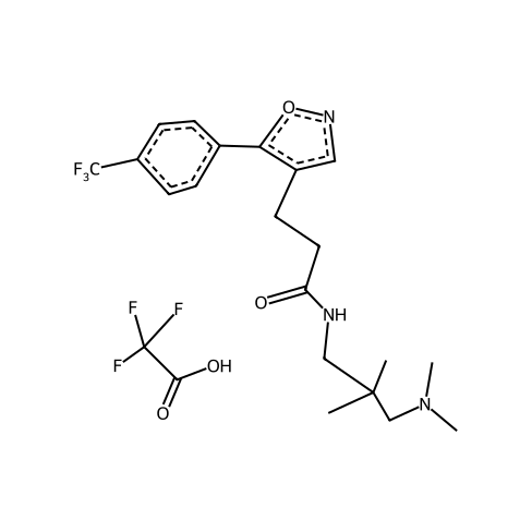 CN(C)CC(C)(C)CNC(=O)CCc1cnoc1-c1ccc(C(F)(F)F)cc1.O=C(O)C(F)(F)F